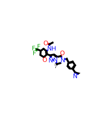 CC(=O)NC1=C(c2cc3n(n2)[C@@H](C)CN(Cc2ccc(C4C=N4)cc2)C3=O)C(=O)CC(C(F)(F)F)C1